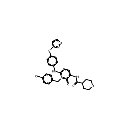 O=C(Nc1cnc(Nc2ccc(Oc3ccon3)cc2)n(Cc2ccc(Cl)cc2)c1=O)C1CCOCC1